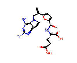 C=C(Cn1ccc2nc(N)nc(N)c21)c1ccc(C(=O)N[C@H](CCC(=O)O)C(=O)O)o1